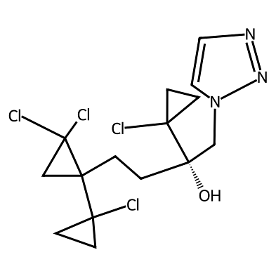 O[C@@](CCC1(C2(Cl)CC2)CC1(Cl)Cl)(Cn1ccnn1)C1(Cl)CC1